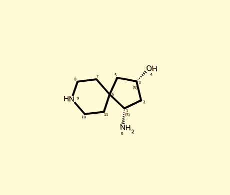 N[C@H]1C[C@@H](O)CC12CCNCC2